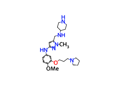 COc1ccc(Nc2cc(CNC3CCNCC3)n(C)n2)cc1OCCCN1CCCC1